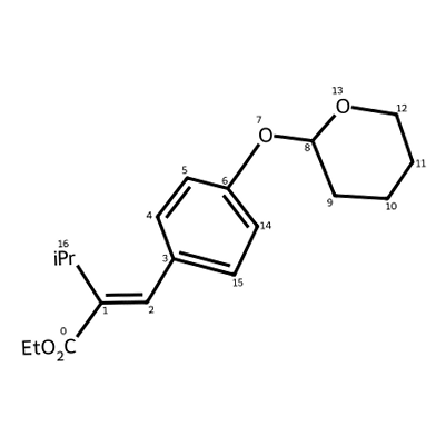 CCOC(=O)C(=Cc1ccc(OC2CCCCO2)cc1)C(C)C